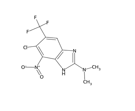 CN(C)c1nc2cc(C(F)(F)F)c(Cl)c([N+](=O)[O-])c2[nH]1